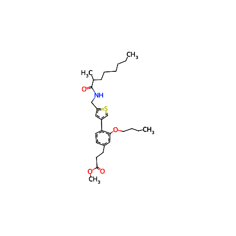 CCCCCCC(C)C(=O)NCc1cc(-c2ccc(CCC(=O)OC)cc2OCCCC)cs1